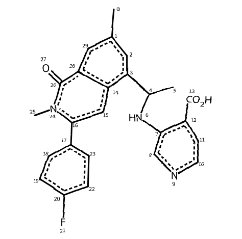 Cc1cc(C(C)Nc2cnccc2C(=O)O)c2cc(-c3ccc(F)cc3)n(C)c(=O)c2c1